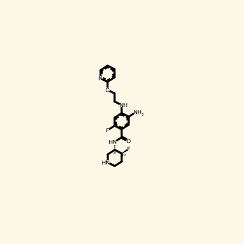 Nc1cc(C(=O)N[C@H]2CNCC[C@@H]2F)c(F)cc1NCCOc1ccccn1